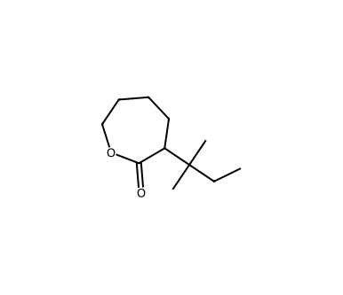 CCC(C)(C)C1CCCCOC1=O